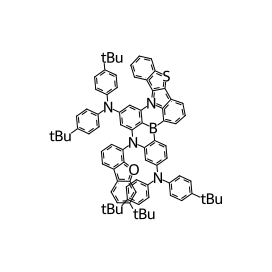 CC(C)(C)c1ccc(N(c2ccc(C(C)(C)C)cc2)c2ccc3c(c2)N(c2cccc4c2oc2cc(C(C)(C)C)ccc24)c2cc(N(c4ccc(C(C)(C)C)cc4)c4ccc(C(C)(C)C)cc4)cc4c2B3c2cccc3c5sc6ccccc6c5n-4c23)cc1